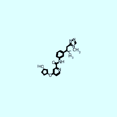 C[C@H](Cc1nncn1C)c1cccc(NC(=O)c2cc(O[C@H]3CC[C@H](O)C3)ccn2)c1